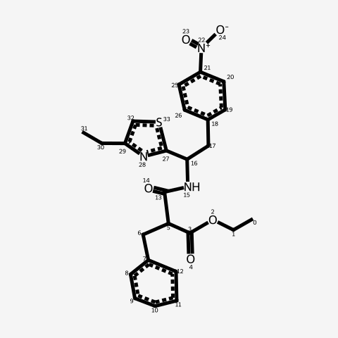 CCOC(=O)C(Cc1ccccc1)C(=O)NC(Cc1ccc([N+](=O)[O-])cc1)c1nc(CC)cs1